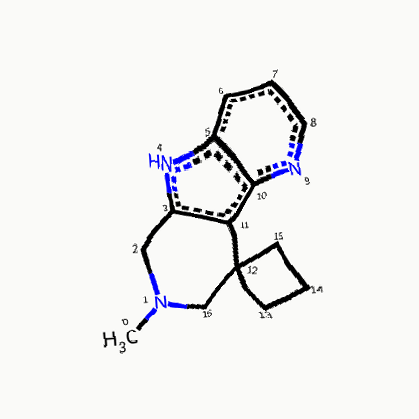 CN1Cc2[nH]c3cccnc3c2C2(CCC2)C1